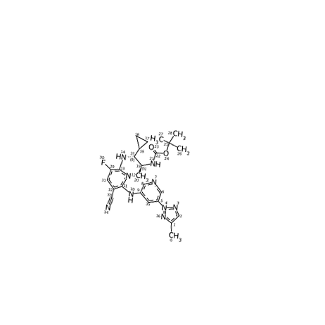 Cc1cnn(-c2cncc(Nc3nc(N[C@H](C4CC4)[C@H](C)NC(=O)OC(C)(C)C)c(F)cc3C#N)c2)n1